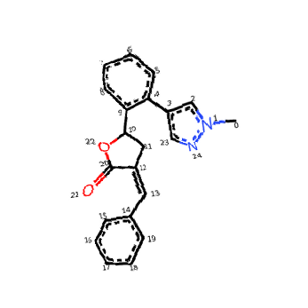 Cn1cc(-c2ccccc2C2CC(=Cc3ccccc3)C(=O)O2)cn1